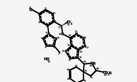 Cc1ccn(-c2cc(Cl)ccc2[C@@H](Oc2ncnc3c(C4NC(C(=O)O)CC45CC=CCC5)csc23)C(F)(F)F)n1.Cl